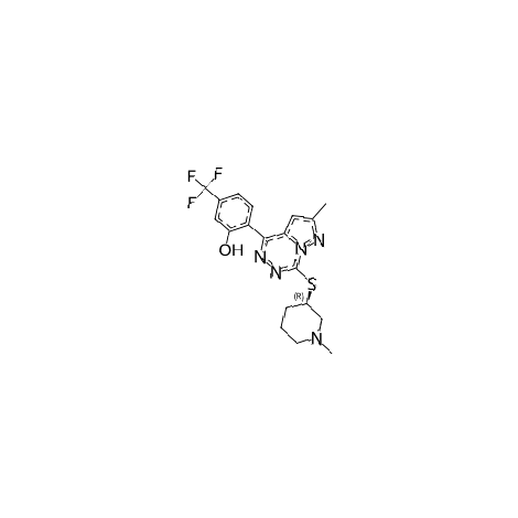 Cc1cc2c(-c3ccc(C(F)(F)F)cc3O)nnc(S[C@@H]3CCCN(C)C3)n2n1